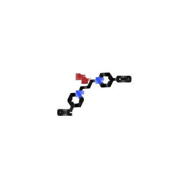 O=Cc1cc[n+](CCC[n+]2ccc(C=O)cc2)cc1.[Br-].[Br-]